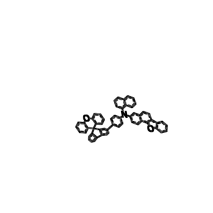 c1ccc2c(c1)Oc1ccccc1C21c2ccccc2-c2ccc(-c3ccc(N(c4ccc5c(ccc6c7ccccc7oc56)c4)c4cccc5ccccc45)cc3)cc21